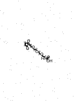 O=C(O)NCCOCCOCCOCCN1C(=O)C=CC1=O